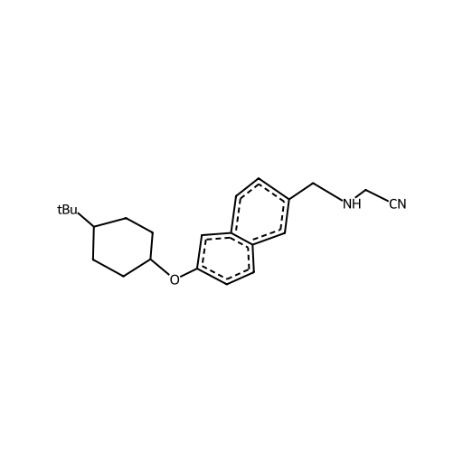 CC(C)(C)C1CCC(Oc2ccc3cc(CNCC#N)ccc3c2)CC1